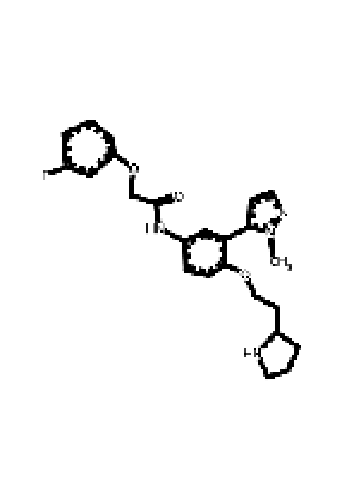 Cn1nccc1-c1cc(NC(=O)COc2cccc(F)c2)ccc1OCCC1CCCN1